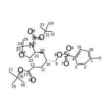 Cc1ccc(S(=O)(=O)OC[C@H](CCC(=O)OC(C)(C)C)C[C@H]2COC(C)(C)N2C(=O)OC(C)(C)C)cc1